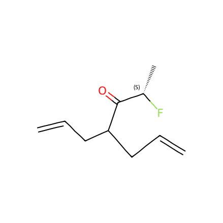 C=CCC(CC=C)C(=O)[C@H](C)F